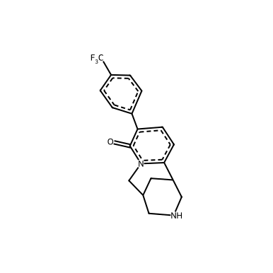 O=c1c(-c2ccc(C(F)(F)F)cc2)ccc2n1CC1CNCC2C1